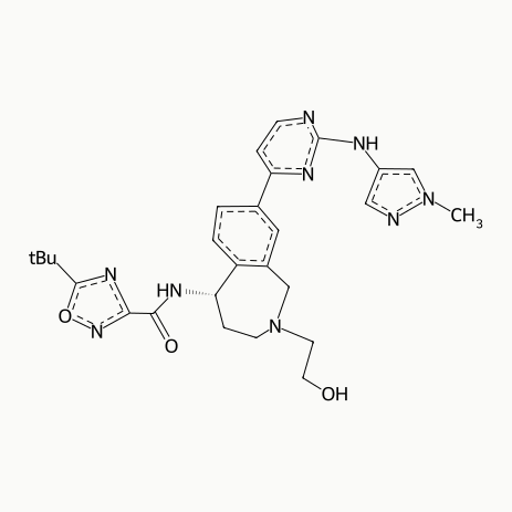 Cn1cc(Nc2nccc(-c3ccc4c(c3)CN(CCO)CC[C@@H]4NC(=O)c3noc(C(C)(C)C)n3)n2)cn1